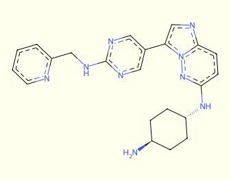 N[C@H]1CC[C@H](Nc2ccc3ncc(-c4cnc(NCc5ccccn5)nc4)n3n2)CC1